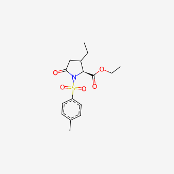 CCOC(=O)[C@@H]1C(CC)CC(=O)N1S(=O)(=O)c1ccc(C)cc1